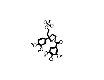 COc1ccc(C2(CCOS(C)(=O)=O)CCN(C(=O)c3cc(OC)c(OC)c(OC)c3)C2)cc1OC